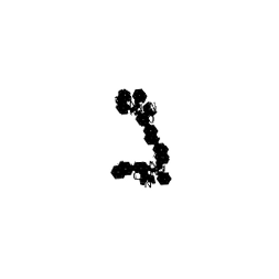 c1ccc(-c2nc(-c3ccc4ccc(-c5ccc6cc(-c7ccc(-c8nc(-c9ccccc9)nc(-c9cccc%10oc%11ccccc%11c9%10)n8)c8c7oc7cnccc78)ccc6c5)cc4c3)nc(-c3ccc(-c4ccc5ccccc5c4)c4oc5cnccc5c34)n2)cc1